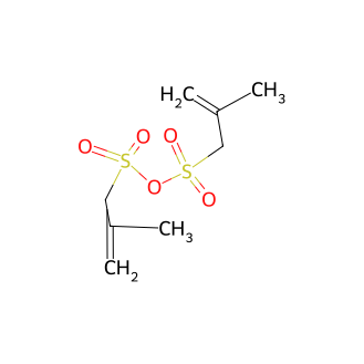 C=C(C)CS(=O)(=O)OS(=O)(=O)CC(=C)C